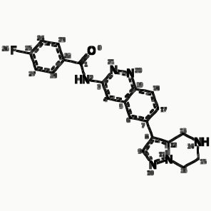 O=C(Nc1cc2cc(-c3cnn4c3CNCC4)ccc2nn1)c1ccc(F)cc1